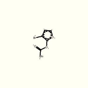 CCCC(=O)Oc1occc1Br